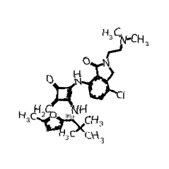 C=C1C(=O)C(Nc2ccc(Cl)c3c2C(=O)N(CCN(C)C)C3)=C1N[C@@H](c1ccc(C)o1)C(C)(C)C